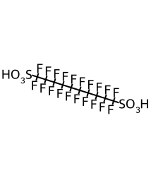 O=S(=O)(O)C(F)(F)C(F)(F)C(F)(F)C(F)(F)C(F)(F)C(F)(F)C(F)(F)C(F)(F)C(F)(F)C(F)(F)S(=O)(=O)O